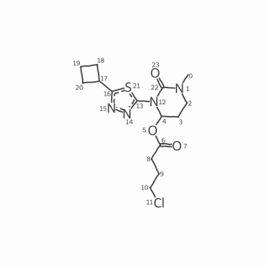 CN1CCC(OC(=O)CCCCl)N(c2nnc(C3CCC3)s2)C1=O